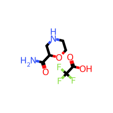 NC(=O)C1CNCCO1.O=C(O)C(F)(F)F